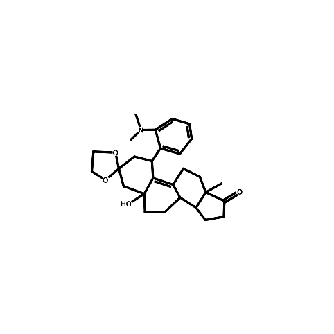 CN(C)c1ccccc1C1CC2(CC3(O)CCC4C(=C13)CCC1(C)C(=O)CCC41)OCCO2